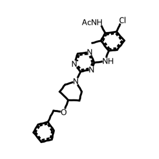 CC(=O)Nc1c(Cl)ccc(Nc2ncnc(N3CCC(OCc4ccccc4)CC3)n2)c1C